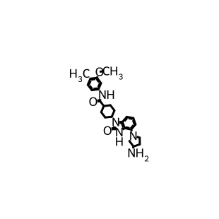 COc1cc(NC(=O)C2CCC(n3c(=O)[nH]c4c(N5CCC(N)C5)cccc43)CC2)ccc1C